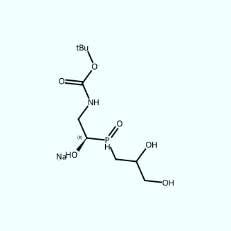 CC(C)(C)OC(=O)NC[C@H](O)[PH](=O)CC(O)CO.[Na]